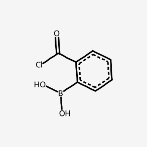 O=C(Cl)c1ccccc1B(O)O